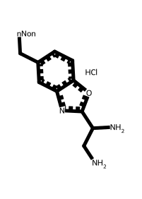 CCCCCCCCCCc1ccc2oc(C(N)CN)nc2c1.Cl